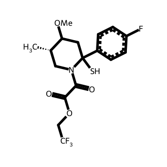 COC1CC(S)(c2ccc(F)cc2)N(C(=O)C(=O)OCC(F)(F)F)C[C@@H]1C